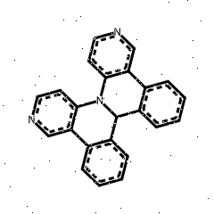 c1ccc2c(c1)-c1cnccc1N1c3ccncc3-c3ccccc3C21